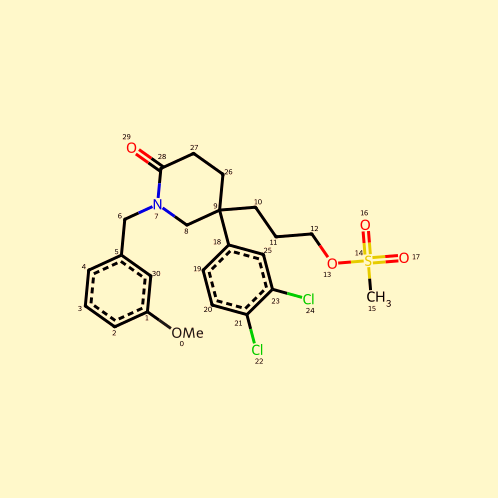 COc1cccc(CN2CC(CCCOS(C)(=O)=O)(c3ccc(Cl)c(Cl)c3)CCC2=O)c1